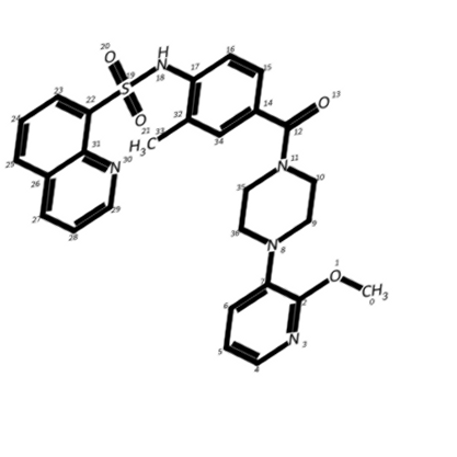 COc1ncccc1N1CCN(C(=O)c2ccc(NS(=O)(=O)c3cccc4cccnc34)c(C)c2)CC1